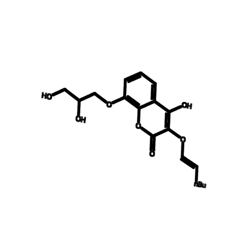 CCCC/C=C/Oc1c(O)c2cccc(OCC(O)CO)c2oc1=O